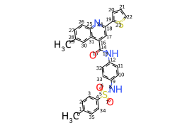 Cc1ccc(S(=O)(=O)Nc2ccc(NC(=O)c3cc(-c4cccs4)nc4ccc(C)cc34)cc2)cc1